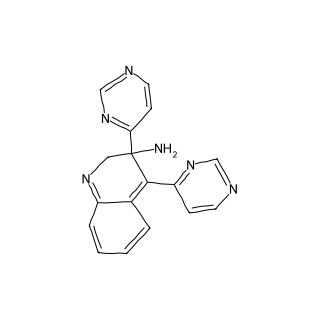 NC1(c2ccncn2)CN=c2ccccc2=C1c1ccncn1